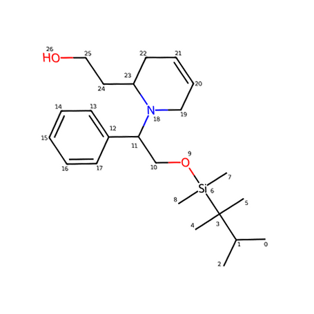 CC(C)C(C)(C)[Si](C)(C)OCC(c1ccccc1)N1CC=CCC1CCO